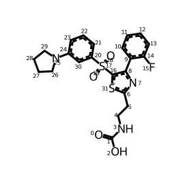 O=C(O)NCCc1nc(-c2ccccc2F)c(S(=O)(=O)c2cccc(N3CCCC3)c2)s1